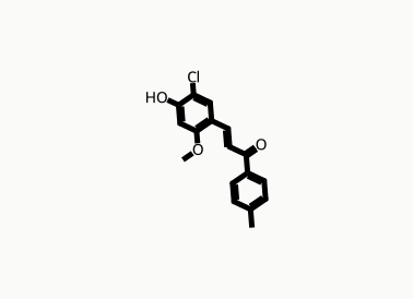 COc1cc(O)c(Cl)cc1/C=C/C(=O)c1ccc(C)cc1